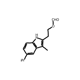 Cc1c(CCOC=O)[nH]c2ccc(C(C)C)cc12